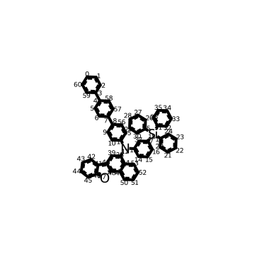 c1ccc(-c2ccc(-c3ccc(N(c4cccc([Si](c5ccccc5)(c5ccccc5)c5ccccc5)c4)c4cc5c6ccccc6oc5c5ccccc45)cc3)cc2)cc1